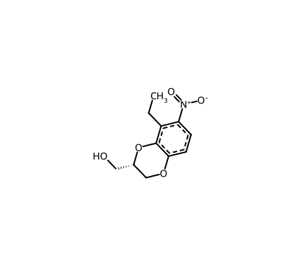 CCc1c([N+](=O)[O-])ccc2c1O[C@@H](CO)CO2